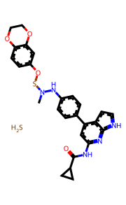 CN(Nc1ccc(-c2cc(NC(=O)C3CC3)nc3[nH]ccc23)cc1)SOc1ccc2c(c1)OCCO2.S